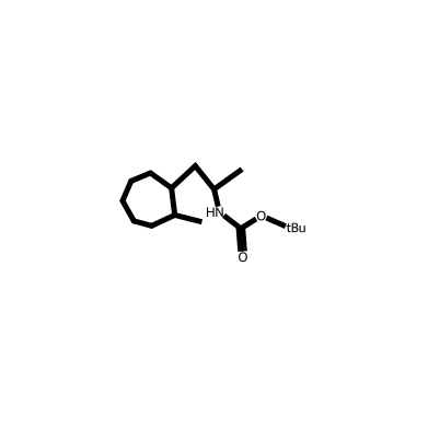 CC(CC1CCCCCC1C)NC(=O)OC(C)(C)C